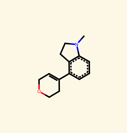 CN1CCc2c(C3=CCOCC3)cccc21